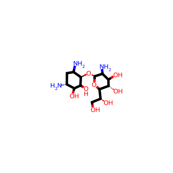 NC1C(O)[C@H](O)C([C@H](O)CO)O[C@@H]1O[C@@H]1C(N)C[C@@H](N)C(O)C1O